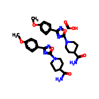 COc1ccc(-c2noc(N3CCC(C(N)=O)CC3)n2)cc1.COc1ccc(-c2noc(N3CCC(C(N)=O)CC3)n2)cc1.O=CO